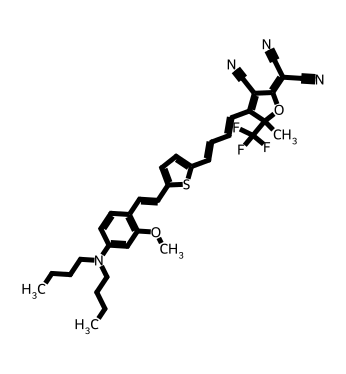 CCCCN(CCCC)c1ccc(/C=C/c2ccc(/C=C/C=C/C3=C(C#N)C(=C(C#N)C#N)OC3(C)C(F)(F)F)s2)c(OC)c1